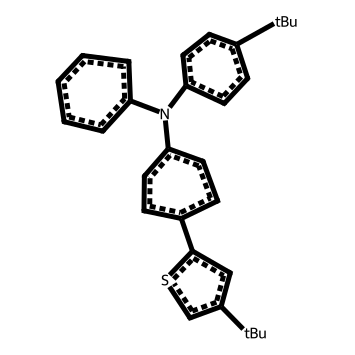 CC(C)(C)c1ccc(N(c2ccccc2)c2ccc(-c3cc(C(C)(C)C)cs3)cc2)cc1